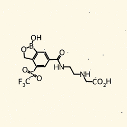 O=C(O)CNCCNC(=O)c1cc2c(c(S(=O)(=O)C(F)(F)F)c1)COB2O